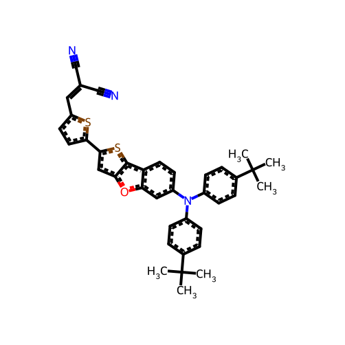 CC(C)(C)c1ccc(N(c2ccc(C(C)(C)C)cc2)c2ccc3c(c2)oc2cc(-c4ccc(C=C(C#N)C#N)s4)sc23)cc1